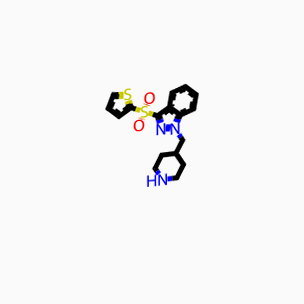 O=S(=O)(c1cccs1)c1nn(CC2CCNCC2)c2ccccc12